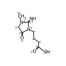 CCCC(=O)CCCN1C(=N)N(C)CC1=O